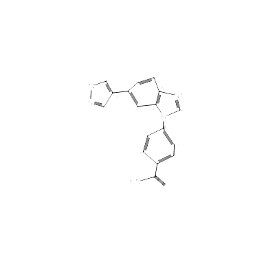 NC(=O)c1ccc(-n2cnc3ccc(-c4cn[nH]c4)cc32)cc1